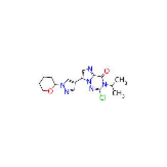 CC(C)n1c(Cl)nn2c(-c3cnn(C4CCCCO4)c3)cnc2c1=O